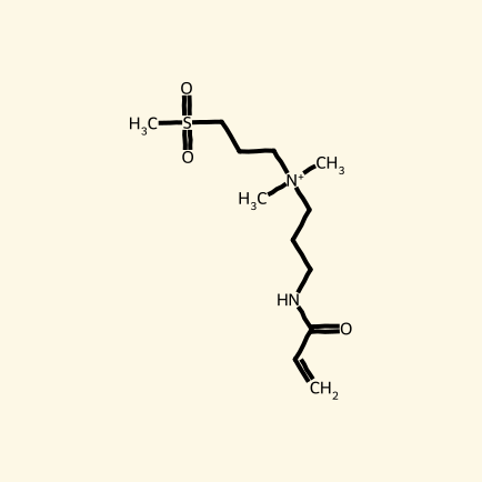 C=CC(=O)NCCC[N+](C)(C)CCCS(C)(=O)=O